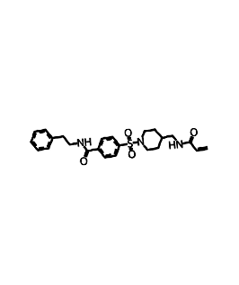 C=CC(=O)NCC1CCN(S(=O)(=O)c2ccc(C(=O)NCCc3ccccc3)cc2)CC1